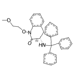 COCCON1C(=O)[C@@H](NC(c2ccccc2)(c2ccccc2)c2ccccc2)Cc2ccccc21